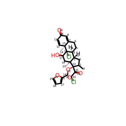 CC1C[C@H]2[C@@H]3CCC4=CC(=O)C=C[C@]4(C)[C@@]3(Cl)C(O)C[C@]2(C)[C@@]1(OC(=O)c1ccco1)C(=O)CCl